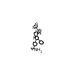 Cn1cnc(-c2nnc3c4cc(-c5ccccc5)c(-c5ccc(C6(N)CC6)cc5)nc4ccn23)c1